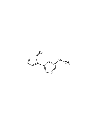 COc1cccc(C2=CC=CS2=[Se])c1